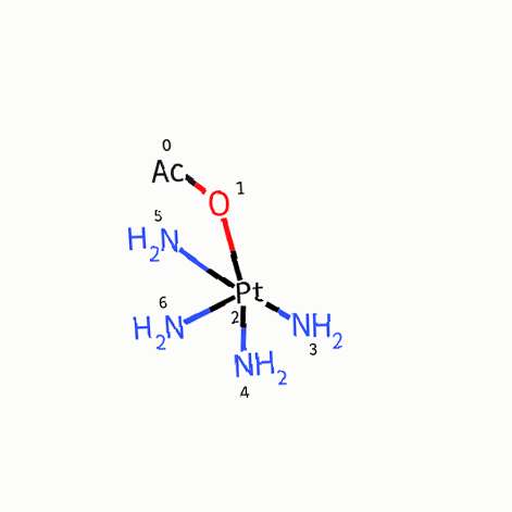 CC(=O)[O][Pt]([NH2])([NH2])([NH2])[NH2]